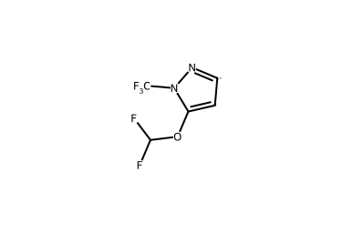 FC(F)Oc1c[c]nn1C(F)(F)F